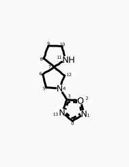 c1noc(N2CCC3(CCCN3)C2)n1